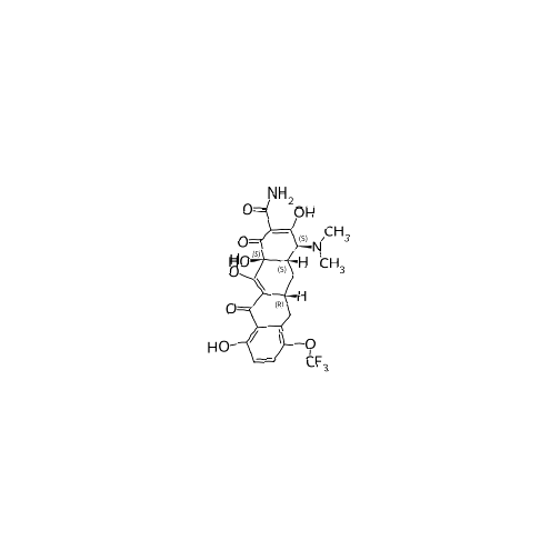 CN(C)[C@@H]1C(O)=C(C(N)=O)C(=O)[C@@]2(O)C(O)=C3C(=O)c4c(O)ccc(OC(F)(F)F)c4C[C@H]3C[C@@H]12